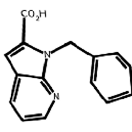 O=C(O)c1cc2cccnc2n1Cc1ccccc1